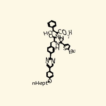 CCCCCCCOc1ccc(-c2cnc(-c3ccc(C[C@H](NC(=O)c4ccc(C(C)(C)C)s4)C(=O)NC(C(=O)O)[C@@H](O)c4ccccc4)cc3)nc2)cc1